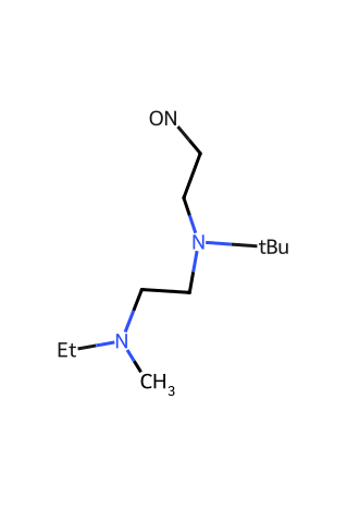 CCN(C)CCN(CCN=O)C(C)(C)C